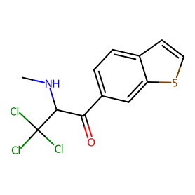 CNC(C(=O)c1ccc2ccsc2c1)C(Cl)(Cl)Cl